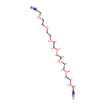 N#CCOCCOCCOCCOCCOCCOCCOCC#N